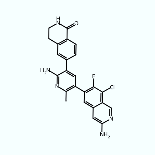 Nc1cc2cc(-c3cc(-c4ccc5c(c4)CCNC5=O)c(N)nc3F)c(F)c(Cl)c2cn1